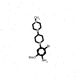 COc1cc(N2CCC(N3CCN(C)CC3)CC2)c(Br)cc1N